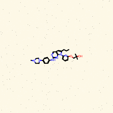 CCCc1cc2cnc(Nc3ccc(N4CCN(C)CC4)cc3)nc2n1-c1cccc(OCC(C)(C)O)n1